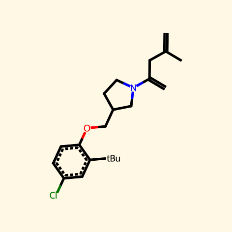 C=C(C)CC(=C)N1CCC(COc2ccc(Cl)cc2C(C)(C)C)C1